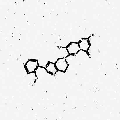 COc1ccncc1-c1cnc2c(c1)CN(c1nn3c(=O)cc(C)nc3cc1C)CC2